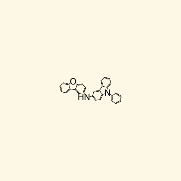 c1ccc(-n2c3ccccc3c3cc(Nc4ccc5oc6ccccc6c5c4)ccc32)cc1